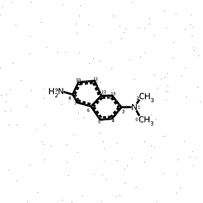 CN(C)c1ccc2cc(N)ccc2c1